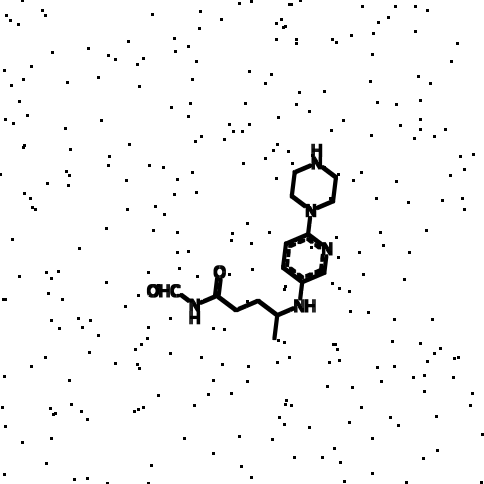 CC(CCC(=O)NC=O)Nc1ccc(N2CCNCC2)nc1